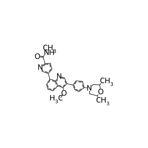 CNC(=O)c1ccc(-c2cccc3c(OC)c(-c4ccc(N5CC(C)O[C@H](C)C5)cc4)cnc23)cn1